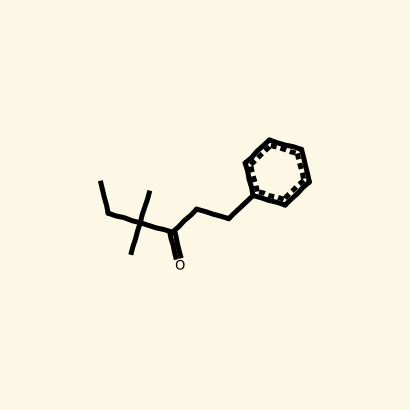 CCC(C)(C)C(=O)CCc1ccccc1